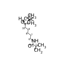 C=C(C)C(=O)NCCCCCC(=O)O[Si](C)(C)C